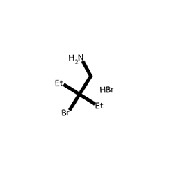 Br.CCC(Br)(CC)CN